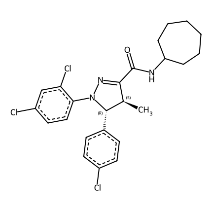 C[C@@H]1C(C(=O)NC2CCCCCC2)=NN(c2ccc(Cl)cc2Cl)[C@H]1c1ccc(Cl)cc1